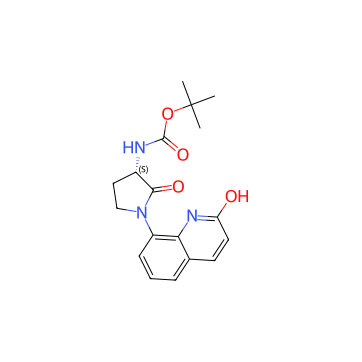 CC(C)(C)OC(=O)N[C@H]1CCN(c2cccc3ccc(O)nc23)C1=O